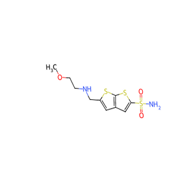 COCCNCc1cc2cc(S(N)(=O)=O)sc2s1